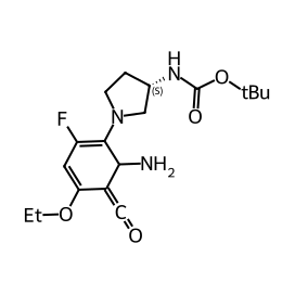 CCOC1=CC(F)=C(N2CC[C@H](NC(=O)OC(C)(C)C)C2)C(N)C1=C=O